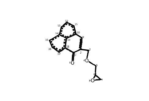 O=C1C(COCC2CO2)=Cc2cccc3cccc1c23